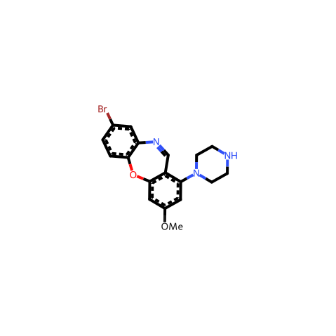 COc1cc2c(c(N3CCNCC3)c1)C=Nc1cc(Br)ccc1O2